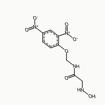 O=C(CNO)NCOc1ccc([N+](=O)[O-])cc1[N+](=O)[O-]